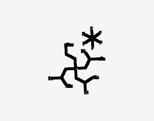 CCCCCCCCCCCC[P+](CC(CC)CCCC)(CC(CC)CCCC)CC(CC)CCCC.F[P-](F)(F)(F)(F)F